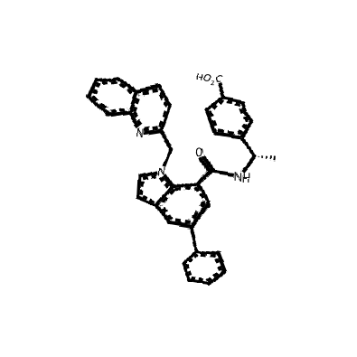 C[C@H](NC(=O)c1cc(-c2ccccc2)cc2ccn(Cc3ccc4ccccc4n3)c12)c1ccc(C(=O)O)cc1